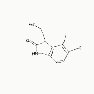 O=C1Nc2ccc(F)c(F)c2C1CS